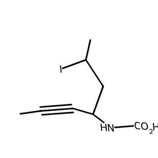 CC#CC(CC(C)I)NC(=O)O